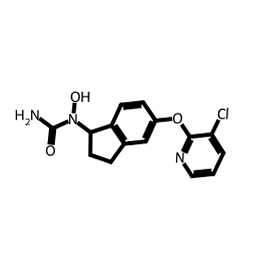 NC(=O)N(O)C1CCc2cc(Oc3ncccc3Cl)ccc21